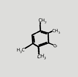 Cc1cc(C)c(C)c([O])c1C